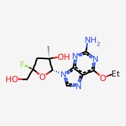 CCOc1nc(N)nc2c1ncn2[C@@H]1O[C@](F)(CO)C[C@@]1(C)O